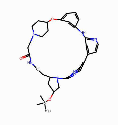 CC(C)(C)[Si](C)(C)OC1CC2CCNC(=O)CN3CCC(CC3)Oc3cccc(c3)Nc3cc(ccn3)-c3cnc(nc3)N2C1